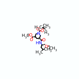 CCOC[C@@H](CC(C)C)NC(=O)[C@H]1C[C@@H](C(=O)OC)CN(C(=O)OC(C)(C)C)C1